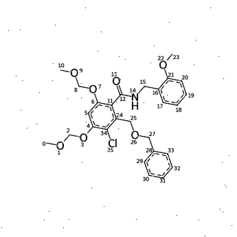 COCOc1cc(OCOC)c(C(=O)NCc2ccccc2OC)c(COCc2ccccc2)c1Cl